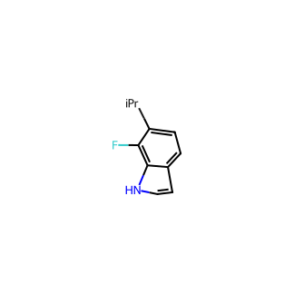 CC(C)c1ccc2cc[nH]c2c1F